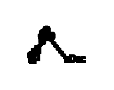 CCCCCCCCCCCCCCCCCCCCCCCC(=O)OCN1C(=O)CCc2ccc(OCCCCN3CCN(c4cccc(Cl)c4Cl)CC3)cc21